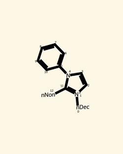 CCCCCCCCCC[n+]1ccn(-c2ccccc2)c1CCCCCCCCC